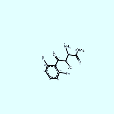 COC(=O)C(N)C(Cl)C(=O)c1c(F)cccc1F